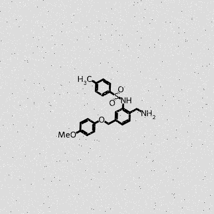 COc1ccc(OCc2ccc(CN)c(NS(=O)(=O)c3ccc(C)cc3)c2)cc1